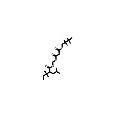 CCC(C)(C)C(CC(C)C)C(=O)OCOC(=O)CC(=O)OCC(F)(F)C(F)(F)F